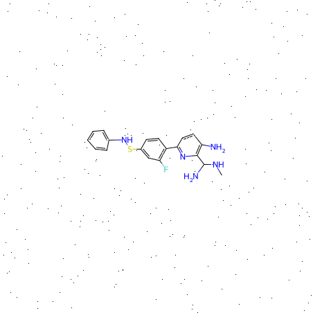 CNC(N)c1nc(-c2ccc(SNc3ccccc3)cc2F)ccc1N